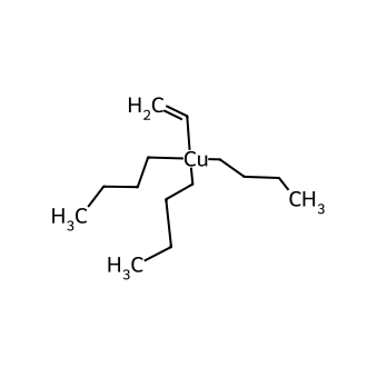 C=[CH][Cu]([CH2]CCC)([CH2]CCC)[CH2]CCC